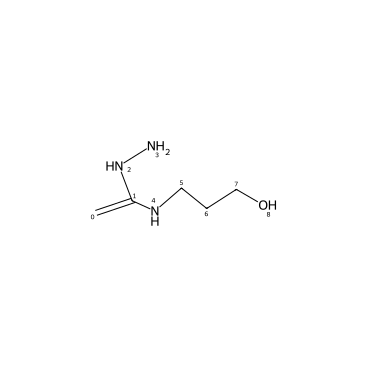 C=C(NN)NCCCO